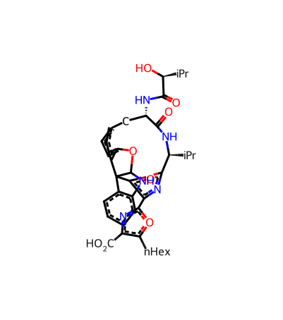 CCCCCCc1oc(-c2nc3oc2C24c5ccccc5NC2Oc2ccc(cc24)C[C@H](NC(=O)[C@@H](O)C(C)C)C(=O)N[C@H]3C(C)C)nc1C(=O)O